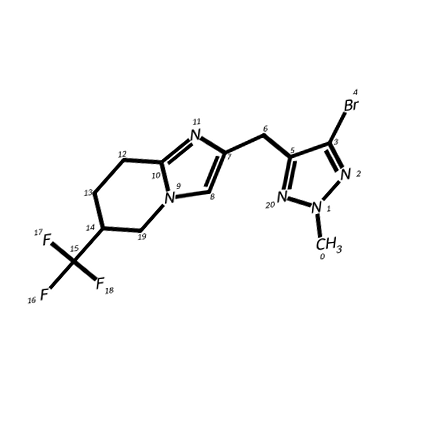 Cn1nc(Br)c(Cc2cn3c(n2)CCC(C(F)(F)F)C3)n1